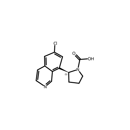 O=C(O)N1CCC[C@H]1c1cc(Cl)cc2ccncc12